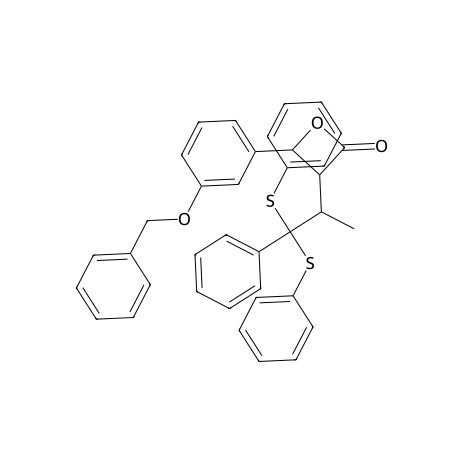 CC(C1C(=O)OC1c1cccc(OCc2ccccc2)c1)C(Sc1ccccc1)(Sc1ccccc1)c1ccccc1